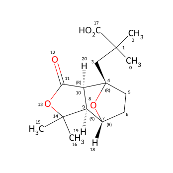 CC(C)(C[C@@]12CC[C@@H](O1)[C@@H]1[C@H]2C(=O)OC1(C)C)C(=O)O